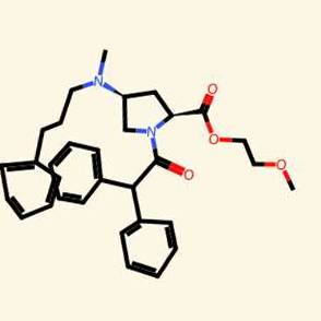 COCCOC(=O)[C@@H]1C[C@H](N(C)CCCc2ccccc2)CN1C(=O)C(c1ccccc1)c1ccccc1